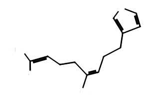 CC(C)=CCCC(C)=CCCc1ccoc1